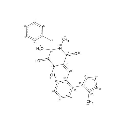 CN1C(=O)C(C)(Cc2ccccc2)N(C)C(=O)/C1=C/c1ccccc1-c1ccnn1C